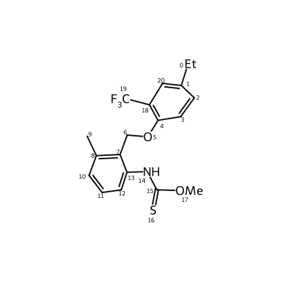 CCc1ccc(OCc2c(C)cccc2NC(=S)OC)c(C(F)(F)F)c1